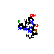 Cc1csc2c(C(=O)N3CC[C@H](O)C3)nc(NC(C)c3cncc(F)c3)nc12